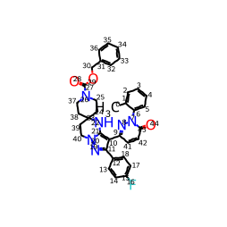 Cc1ccccc1-n1nc(-c2c(-c3ccc(F)cc3)nn3c2NC2(CCN(C(=O)OCc4ccccc4)CC2)CC3)ccc1=O